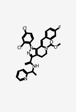 C=C(NC(C)c1ccccn1)c1nn(-c2ccc(Cl)cc2Cl)c2c1CCN(C(=O)OC)/C2=C\c1ccc(F)cc1